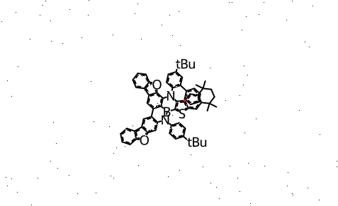 CC(C)(C)c1ccc(N2B3c4sc5cc6c(cc5c4N(c4ccc(C(C)(C)C)cc4-c4ccccc4)c4c3c(cc3c4oc4ccccc43)-c3cc4c(cc32)oc2ccccc24)C(C)(C)CCC6(C)C)cc1